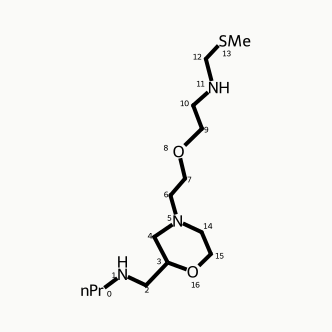 CCCNCC1CN(CCOCCNCSC)CCO1